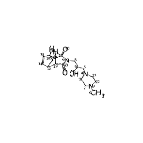 CN1CCN(CC(O)CN2C(=O)C3C4C=C[C@@H](C4)[C@@H]3C2=O)CC1